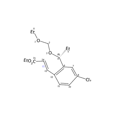 CCOCO[C@H](CC)c1cc(Cl)ccc1/C=C/C(=O)OCC